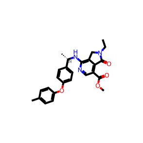 CCN1Cc2c(N[C@@H](C)c3ccc(Oc4ccc(C)cc4)cc3)ncc(C(=O)OC)c2C1=O